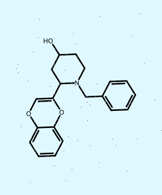 OC1CCN(Cc2ccccc2)C(C2=COc3ccccc3O2)C1